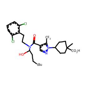 CC(C)(C)CCC(O)N(CCc1c(Cl)cccc1Cl)C(=O)c1cnn(C2CCC(C)(C(=O)O)CC2)c1C(F)(F)F